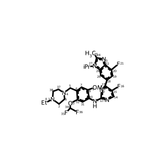 CCN1CCN(Cc2cc(OC)c(Nc3ncc(F)c(-c4cc(F)c5nc(C)n(C(C)C)c5c4)n3)cc2OC(F)F)CC1